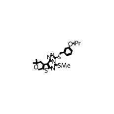 CSc1nc2sc3c(c2c2nnc(SCc4cccc(OC(C)C)c4)n12)CC(C)(C)OC3